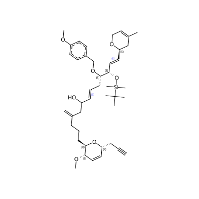 C#CC[C@@H]1C=C[C@H](OC)[C@@H](CCCC(=C)CC(O)/C=C/C[C@H](OCc2ccc(OC)cc2)[C@H](/C=C/[C@@H]2CC(C)=CCO2)O[Si](C)(C)C(C)(C)C)O1